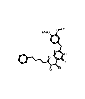 CCOc1cc(Cc2nnc(C(CC)N(C(C)=O)C(=O)CCCCc3ccccc3)c(=O)[nH]2)ccc1OC